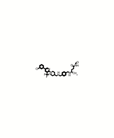 CC(CCC(=O)NC=O)NCc1ccc(CNCC2CCN(c3ncc(-c4cccc(Cl)c4)cc3C(F)(F)F)CC2)cc1